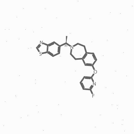 C[C@H](c1ccc2scnc2c1)N1CCc2ccc(Oc3cccc(F)n3)cc2CC1